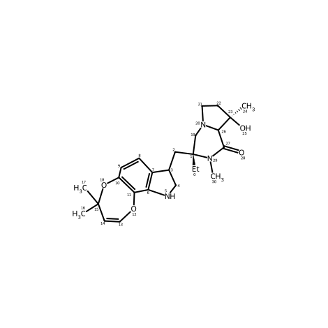 CC[C@@]1(CC2CNc3c2ccc2c3OC=CC(C)(C)O2)CN2CC[C@@](C)(O)C2C(=O)N1C